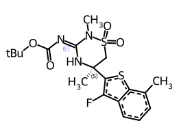 Cc1cccc2c(F)c([C@]3(C)CS(=O)(=O)N(C)/C(=N/C(=O)OC(C)(C)C)N3)sc12